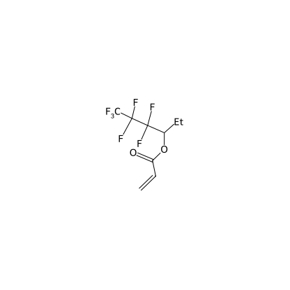 C=CC(=O)OC(CC)C(F)(F)C(F)(F)C(F)(F)F